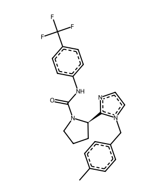 Cc1ccc(Cn2ccnc2[C@H]2CCCN2C(=O)Nc2ccc(C(F)(F)F)cc2)cc1